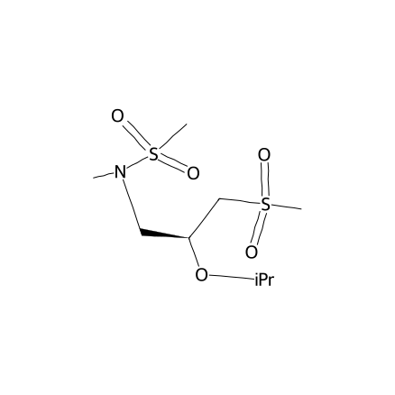 CC(C)O[C@@H](CN(C)S(C)(=O)=O)CS(C)(=O)=O